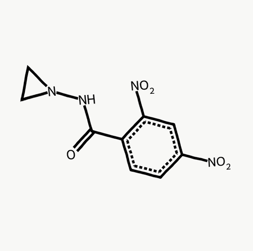 O=C(NN1CC1)c1ccc([N+](=O)[O-])cc1[N+](=O)[O-]